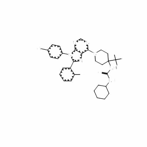 O=C(NC1CCCCC1)NC1(C(F)(F)F)CCN(c2ncnc3c2nc(-c2ccccc2Cl)n3-c2ccc(Cl)cc2)CC1